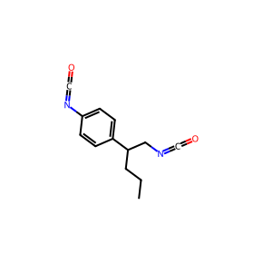 CCCC(CN=C=O)c1ccc(N=C=O)cc1